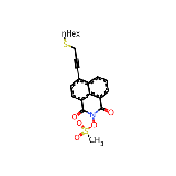 CCCCCCSCC#Cc1ccc2c3c(cccc13)C(=O)N(OS(C)(=O)=O)C2=O